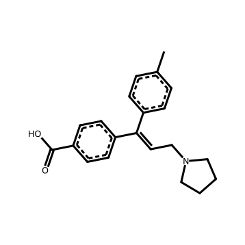 Cc1ccc(/C(=C\CN2CCCC2)c2ccc(C(=O)O)cc2)cc1